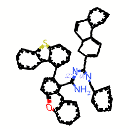 N/C(=N\C(=N/Cc1ccccc1)C1=CC=C2c3ccccc3C=CC2C1)c1c(-c2cccc3sc4ccccc4c23)ccc2oc3ccccc3c12